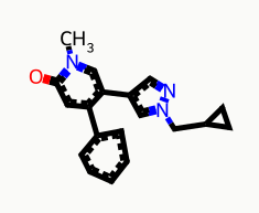 Cn1cc(-c2cnn(CC3CC3)c2)c(-c2ccccc2)cc1=O